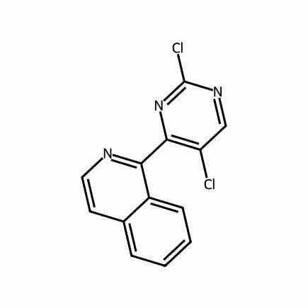 Clc1ncc(Cl)c(-c2nccc3ccccc23)n1